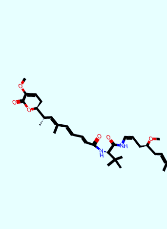 COC1=CC[C@@H]([C@@H](C)/C=C(C)/C=C/C=C/C(=O)N[C@H](C(=O)N/C=C\C[C@H](C/C=C(\C)Cl)OC)C(C)(C)C)OC1=O